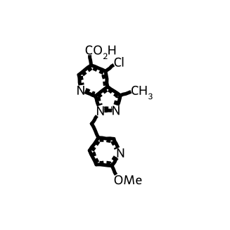 COc1ccc(Cn2nc(C)c3c(Cl)c(C(=O)O)cnc32)cn1